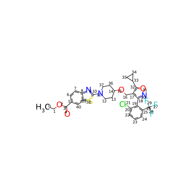 CCOC(=O)c1ccc2nc(N3CCC(OCc4c(-c5c(Cl)cccc5C(F)(F)F)noc4C4CC4)CC3)sc2c1